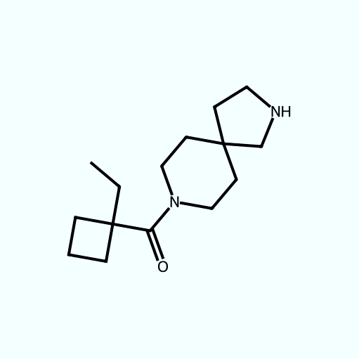 CCC1(C(=O)N2CCC3(CCNC3)CC2)CCC1